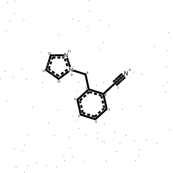 N#Cc1ccccc1Cn1cccn1